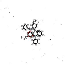 Cc1ccc(P(c2ccc(C)cc2N(c2ccccc2)c2ccccc2)C(C)C)c(N(c2ccccc2)c2ccccc2)c1